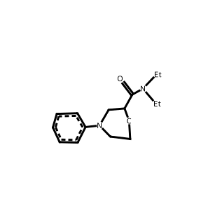 CCN(CC)C(=O)C1CCCN(c2ccccc2)C1